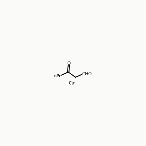 CCCC(=O)CC=O.[Cu]